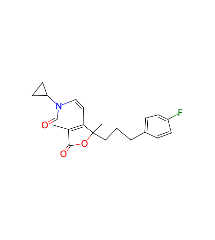 CC1=C(/C=C\N(C=O)C2CC2)C(C)(CCCc2ccc(F)cc2)OC1=O